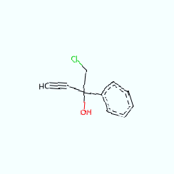 C#CC(O)(CCl)c1ccccc1